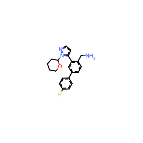 NCc1ccc(-c2ccc(F)cc2)cc1-c1ccnn1C1CCCCO1